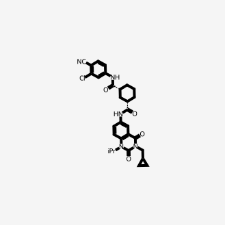 CC(C)n1c(=O)n(CC2CC2)c(=O)c2cc(NC(=O)[C@H]3CCC[C@@H](C(=O)Nc4ccc(C#N)c(Cl)c4)C3)ccc21